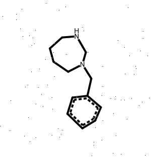 [CH]1NCCCCN1Cc1ccccc1